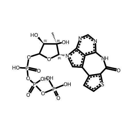 C[C@@]1(O)[C@H](O)C(OP(=O)(O)OP(=O)(O)OP(=O)(O)O)O[C@H]1n1cc2c3c(ncnc31)NC(=O)c1sccc1-2